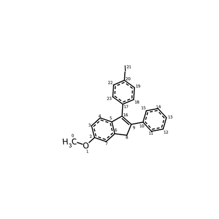 COc1ccc2c(c1)CC(c1ccccc1)=C2c1ccc(I)cc1